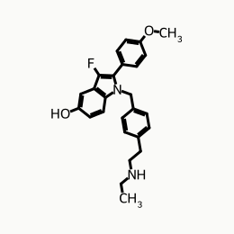 CCNCCc1ccc(Cn2c(-c3ccc(OC)cc3)c(F)c3cc(O)ccc32)cc1